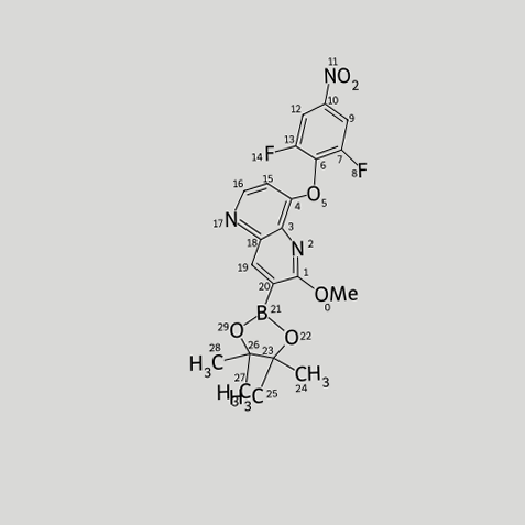 COc1nc2c(Oc3c(F)cc([N+](=O)[O-])cc3F)ccnc2cc1B1OC(C)(C)C(C)(C)O1